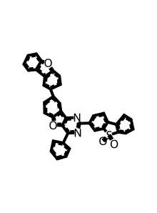 O=S1(=O)c2ccccc2-c2ccc(-c3nc(-c4ccccc4)c4oc5ccc(-c6ccc7oc8ccccc8c7c6)cc5c4n3)cc21